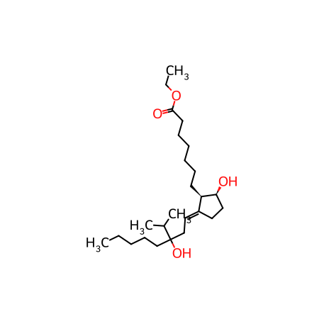 CCCCCC(O)(CC=C1CC[C@H](O)[C@@H]1CCCCCCC(=O)OCC)C(C)C